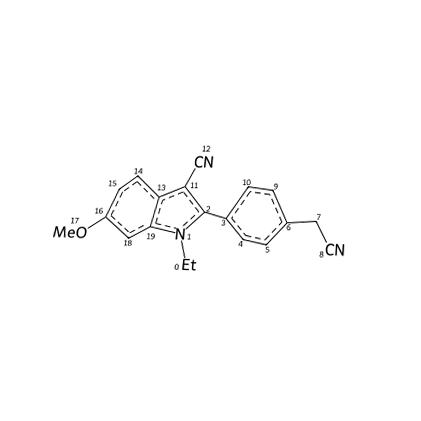 CCn1c(-c2ccc(CC#N)cc2)c(C#N)c2ccc(OC)cc21